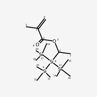 C=C(C)C(=O)OC(C)[Si]([Si](C)(C)C)([Si](C)(C)C)[Si](C)(C)C